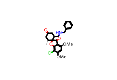 COc1cc(OC)c2c(c1Cl)OC1(C2=O)C(CNCc2ccccc2)CC(=O)C[C@H]1C